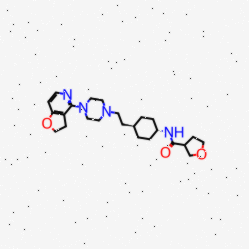 O=C(N[C@H]1CC[C@H](CCN2CCN(c3nccc4c3CCO4)CC2)CC1)C1CCOC1